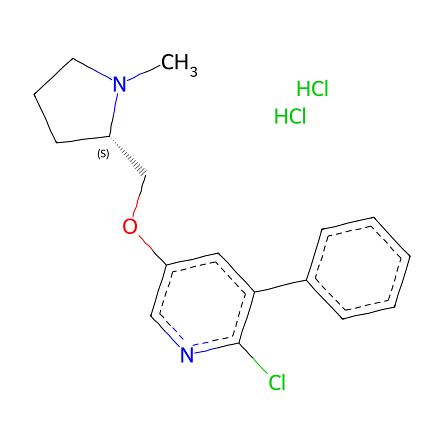 CN1CCC[C@H]1COc1cnc(Cl)c(-c2ccccc2)c1.Cl.Cl